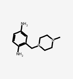 CN1CCN(Cc2cc(N)ccc2N)CC1